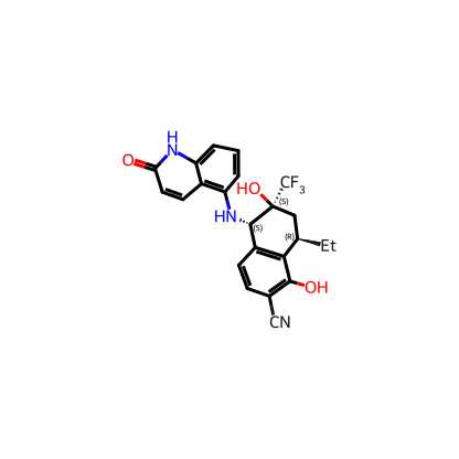 CC[C@@H]1C[C@@](O)(C(F)(F)F)[C@@H](Nc2cccc3[nH]c(=O)ccc23)c2ccc(C#N)c(O)c21